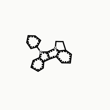 c1ccc(-n2c3ccccc3c3c4cccc5c4n(c32)CC5)cc1